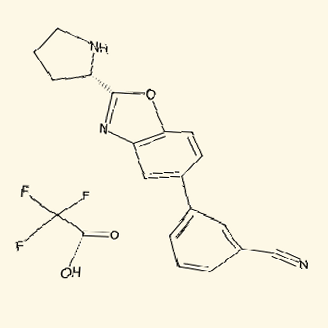 N#Cc1cccc(-c2ccc3oc([C@@H]4CCCN4)nc3c2)c1.O=C(O)C(F)(F)F